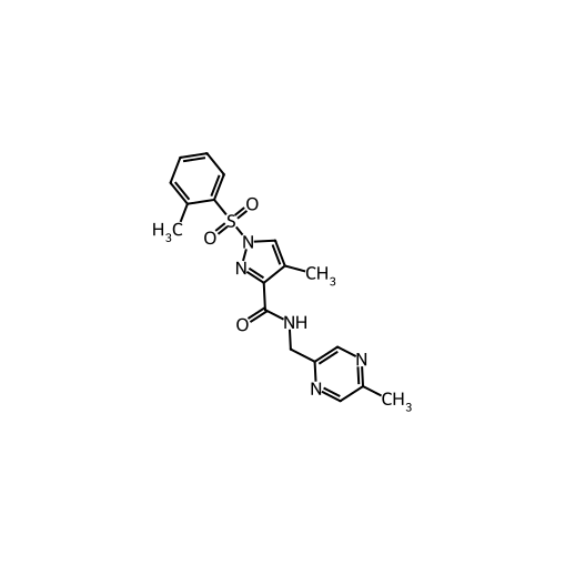 Cc1cnc(CNC(=O)c2nn(S(=O)(=O)c3ccccc3C)cc2C)cn1